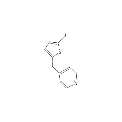 Ic1ccc(Cc2ccncc2)s1